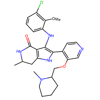 COc1c(Cl)cccc1Nc1c(-c2ccncc2OCC2CCCCN2C)[nH]c2c1C(=O)NC(C)C2